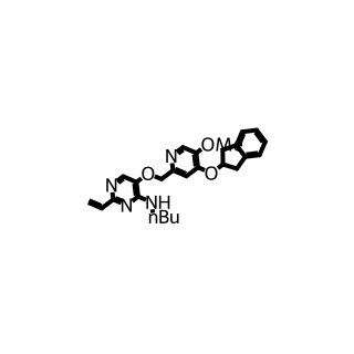 C=Cc1ncc(OCc2cc(OC3Cc4ccccc4C3)c(OC)cn2)c(NCCCC)n1